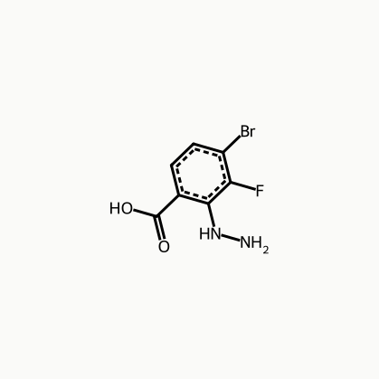 NNc1c(C(=O)O)ccc(Br)c1F